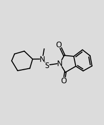 CN(SN1C(=O)c2ccccc2C1=O)C1CCCCC1